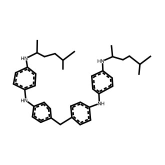 CC(C)CCC(C)Nc1ccc(Nc2ccc(Cc3ccc(Nc4ccc(NC(C)CCC(C)C)cc4)cc3)cc2)cc1